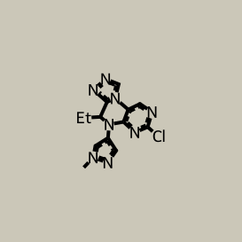 CCC1c2nncn2-c2cnc(Cl)nc2N1c1cnn(C)c1